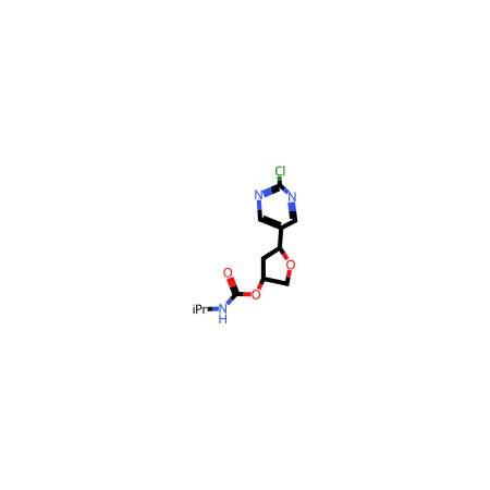 CC(C)NC(=O)OC1COC(c2cnc(Cl)nc2)C1